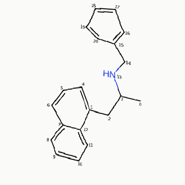 CC(Cc1cccc2ccccc12)NCc1ccccc1